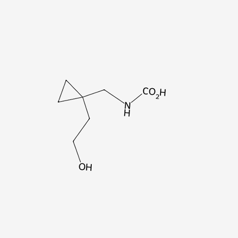 O=C(O)NCC1(CCO)CC1